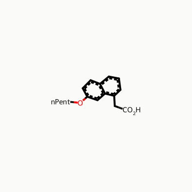 CCCCCOc1ccc2cccc(CC(=O)O)c2c1